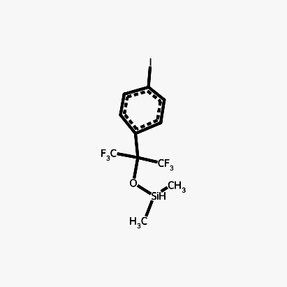 C[SiH](C)OC(c1ccc(I)cc1)(C(F)(F)F)C(F)(F)F